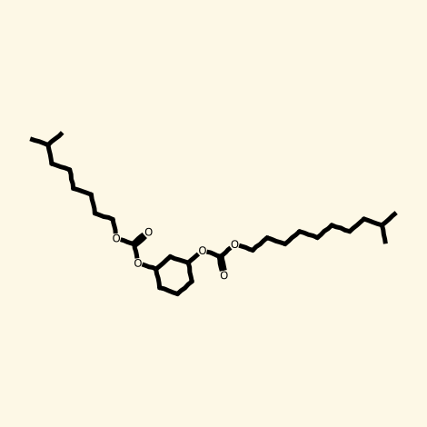 CC(C)CCCCCCCCOC(=O)OC1CCCC(OC(=O)OCCCCCCC(C)C)C1